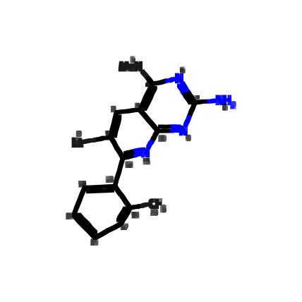 CCc1cc2c(NC)nc(N)nc2nc1-c1ccccc1C(F)(F)F